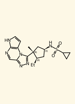 CC[C@@H]1C[C@H](NS(=O)(=O)C2CC2)C[C@@]1(C)c1nnc2cnc3[nH]ccc3n12